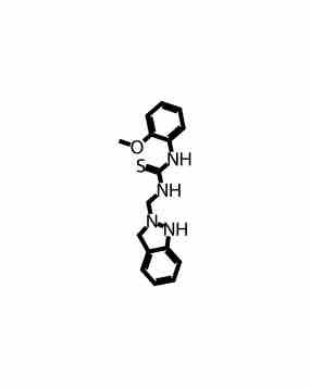 COc1ccccc1NC(=S)NCN1Cc2ccccc2N1